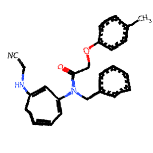 Cc1ccc(OCC(=O)N(Cc2ccccc2)C2=CC=CCC(NCC#N)=C2)cc1